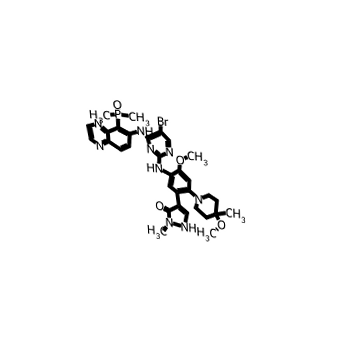 COc1cc(N2CCC(C)(OC)CC2)c(-c2c[nH]n(C)c2=O)cc1Nc1ncc(Br)c(Nc2ccc3nccnc3c2P(C)(C)=O)n1